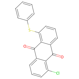 O=C1c2cccc(Sc3ccccc3)c2C(=O)c2cccc(Cl)c21